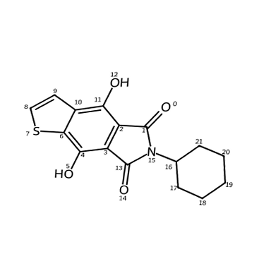 O=C1c2c(c(O)c3sccc3c2O)C(=O)N1C1CCCCC1